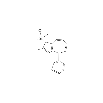 CC1=CC2=C(C=CC=CC2c2ccccc2)C1[Si](C)(C)Cl